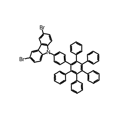 Brc1ccc2c(c1)c1cc(Br)ccc1n2-c1ccc(-c2c(-c3ccccc3)c(-c3ccccc3)c(-c3ccccc3)c(-c3ccccc3)c2-c2ccccc2)cc1